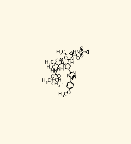 C=C[C@@H]1C[C@]1(NC(=O)[C@@H]1C[C@@H](c2nnn(-c3ccc(OC)cc3)n2)CN1C(=O)[C@@H](NNC(=O)OC(C)(C)C)C(C)(C)C)C(=O)NS(=O)(=O)C1CC1